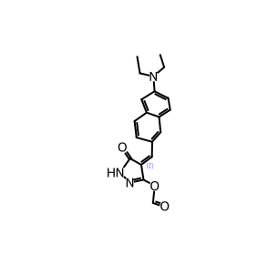 CCN(CC)c1ccc2cc(/C=C3\C(=O)NN=C3OC=O)ccc2c1